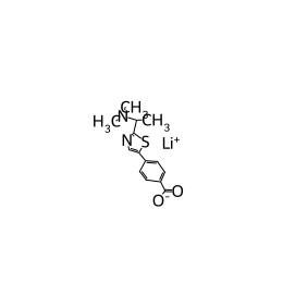 CC(c1ncc(-c2ccc(C(=O)[O-])cc2)s1)N(C)C.[Li+]